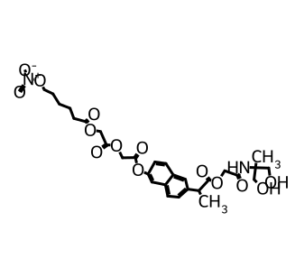 CC(C(=O)OCC(=O)NC(C)(CO)CO)c1ccc2cc(OC(=O)COC(=O)COC(=O)CCCCCO[N+](=O)[O-])ccc2c1